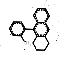 Cc1ccccc1-c1c2c(cc3ccccc13)CCCC2